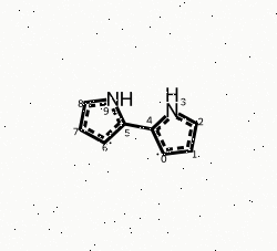 [c]1cc[nH]c1-c1[c]cc[nH]1